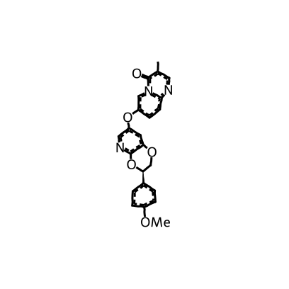 COc1ccc([C@@H]2COc3cc(Oc4ccc5ncc(C)c(=O)n5c4)cnc3O2)cc1